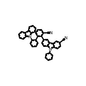 N#Cc1ccc2c(c1)c1cc(-c3c(C#N)cccc3-c3ccccc3-n3c4ccccc4c4ccccc43)ccc1n2-c1ccccc1